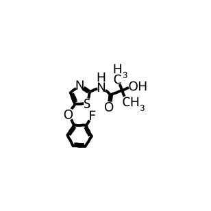 CC(C)(O)C(=O)Nc1ncc(Oc2ccccc2F)s1